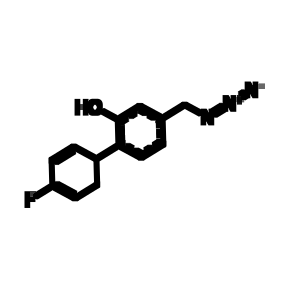 [N-]=[N+]=NCc1ccc(C2C=CC(F)=CC2)c(O)c1